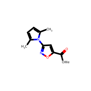 COC(=O)c1cc(-n2c(C)ccc2C)no1